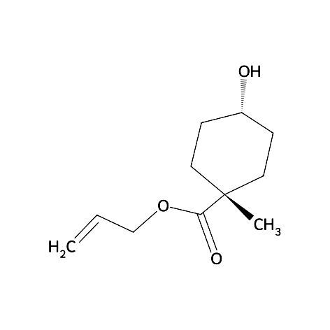 C=CCOC(=O)[C@]1(C)CC[C@H](O)CC1